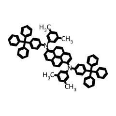 Cc1cc(C)cc(N(c2ccc(C(c3ccccc3)(c3ccccc3)c3ccccc3)cc2)c2ccc3ccc4c(N(c5ccc(C(c6ccccc6)(c6ccccc6)c6ccccc6)cc5)c5cc(C)cc(C)c5)ccc5ccc2c3c54)c1